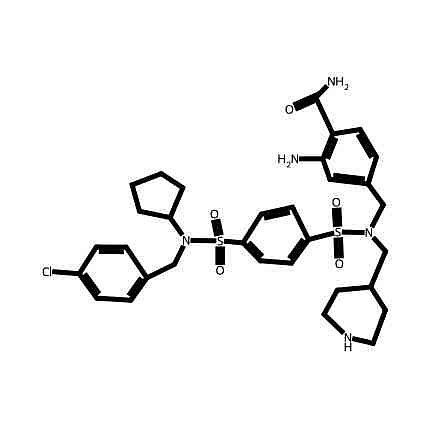 NC(=O)c1ccc(CN(CC2CCNCC2)S(=O)(=O)c2ccc(S(=O)(=O)N(Cc3ccc(Cl)cc3)C3CCCC3)cc2)cc1N